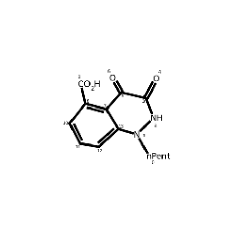 CCCCCn1[nH]c(=O)c(=O)c2c(C(=O)O)cccc21